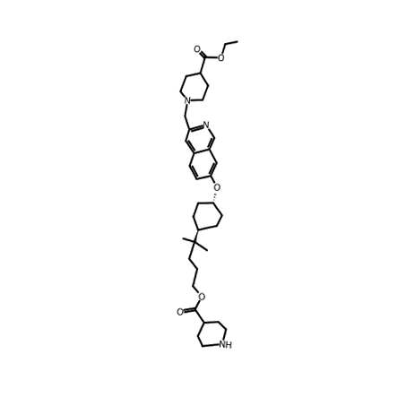 CCOC(=O)C1CCN(Cc2cc3ccc(O[C@H]4CC[C@H](C(C)(C)CCCOC(=O)C5CCNCC5)CC4)cc3cn2)CC1